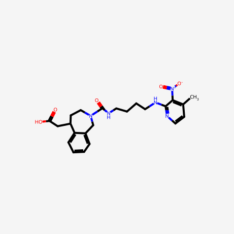 Cc1ccnc(NCCCCNC(=O)N2CCC(CC(=O)O)c3ccccc3C2)c1[N+](=O)[O-]